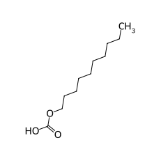 CCCCCCCCCCOC(=O)O